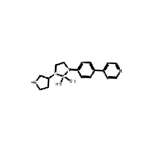 OS1(O)N(c2ccc(-c3ccncc3)cc2)CCN1C1CCNC1